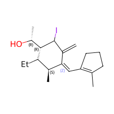 C=C1/C(=C\C2=C(C)CCC2)[C@@H](C)C(CC)[C@H]([C@@H](C)O)C1I